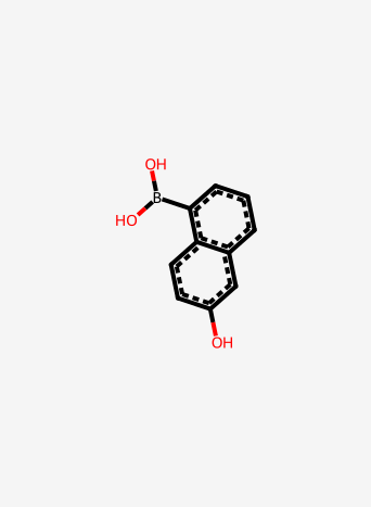 OB(O)c1cccc2cc(O)ccc12